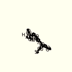 CC(C)(C)OC(=O)N=C(N)Nc1cccc(C(=O)Oc2ccc(COC(=O)N(CC(=O)OCC[Si](C)(C)C)Cc3cccc(C(=O)OC(C)(C)C)c3)cc2)c1NC(N)=NC(=O)OC(C)(C)C